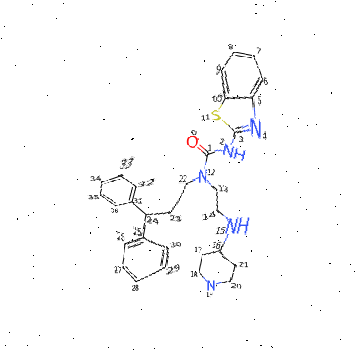 O=C(Nc1nc2ccccc2s1)N(CCNC1CC[N]CC1)CCC(c1ccccc1)c1ccccc1